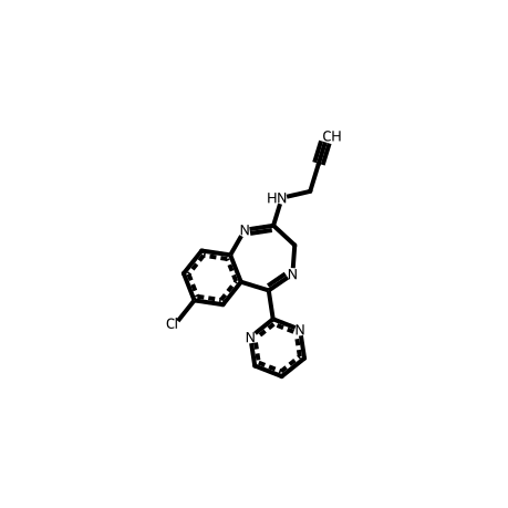 C#CCNC1=Nc2ccc(Cl)cc2C(c2ncccn2)=NC1